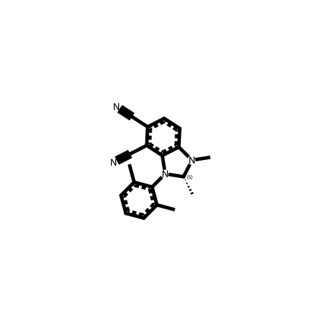 Cc1cccc(C)c1N1c2c(ccc(C#N)c2C#N)N(C)[C@@H]1C